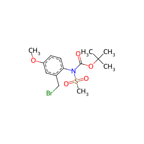 COc1ccc(N(C(=O)OC(C)(C)C)S(C)(=O)=O)c(CBr)c1